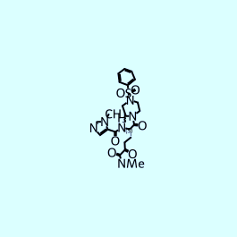 CNC(=O)C(=O)CC[C@H](NC(=O)c1cncn1C)C(=O)N1CCN(S(=O)(=O)c2ccccc2)CC1